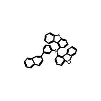 c1cc(-c2ccc3ccccc3c2)cc(N(c2cccc3oc4ccccc4c23)c2cccc3sc4ccccc4c23)c1